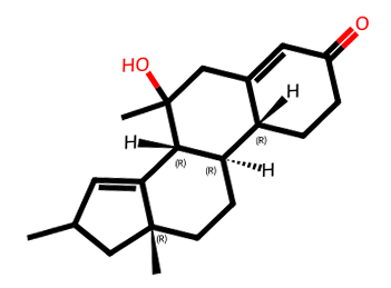 CC1C=C2[C@H]3[C@H](CC[C@]2(C)C1)[C@H]1CCC(=O)C=C1CC3(C)O